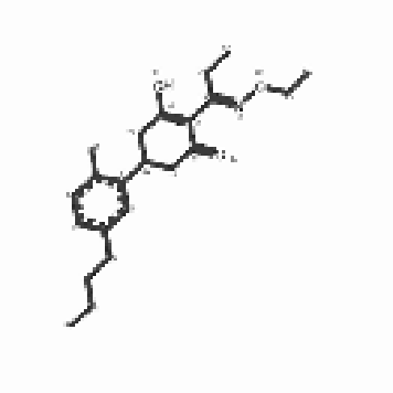 CCCCc1ccc(C)c(C2CC(=O)C(C(CC)=NOCC)=C(O)C2)c1